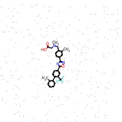 Cc1cc(-c2noc(-c3ccc(-c4ccccc4C)c(C(F)(F)F)c3)n2)ccc1CN(C)CC(=O)O